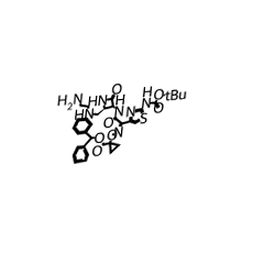 CC(C)(C)OC(=O)Nc1nc(C(=NOC2(C(=O)OC(c3ccccc3)c3ccccc3)CC2)C(=O)N[C@@H]2C(=O)N[C@@H]2CNCCN)cs1